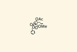 C=CCC1C(OC(C)=O)CN(C(=O)OCc2ccccc2)C1C(=O)OC